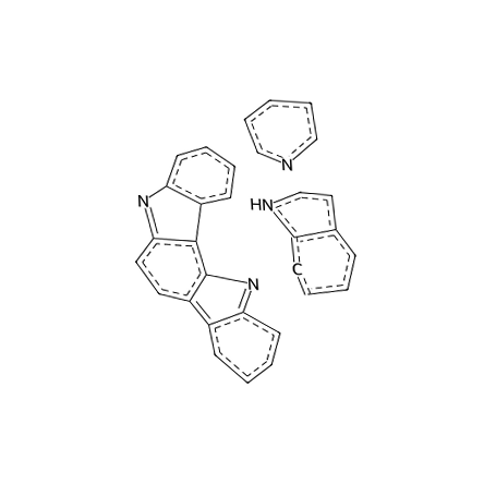 c1ccc2[nH]ccc2c1.c1ccc2c(c1)N=c1ccc3c(c1-2)N=c1ccccc1=3.c1ccncc1